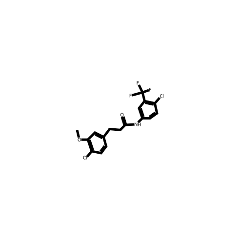 COc1cc(CCC(=O)Nc2ccc(Cl)c(C(F)(F)F)c2)ccc1Cl